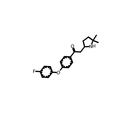 CC1(C)CCC(CC(=O)c2ccc(Oc3ccc(F)cc3)cc2)N1